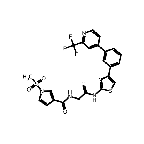 CS(=O)(=O)n1ccc(C(=O)NCC(=O)Nc2nc(-c3cccc(-c4ccnc(C(F)(F)F)c4)c3)cs2)c1